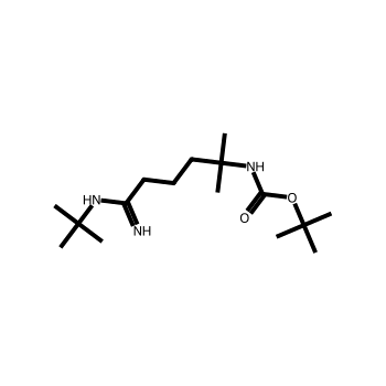 CC(C)(C)NC(=N)CCCC(C)(C)NC(=O)OC(C)(C)C